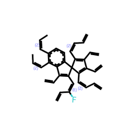 C=C/C=C\C1=C(C=C)C(C=C)=C(/C=C\C=C)C12C(/C=C(/F)C=C)=C(C=C)c1c2ccc(/C=C\C)c1/C=C\C